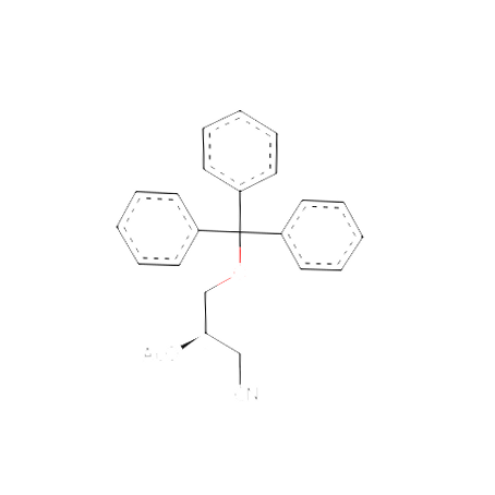 CC(=O)O[C@H](CC#N)COC(c1ccccc1)(c1ccccc1)c1ccccc1